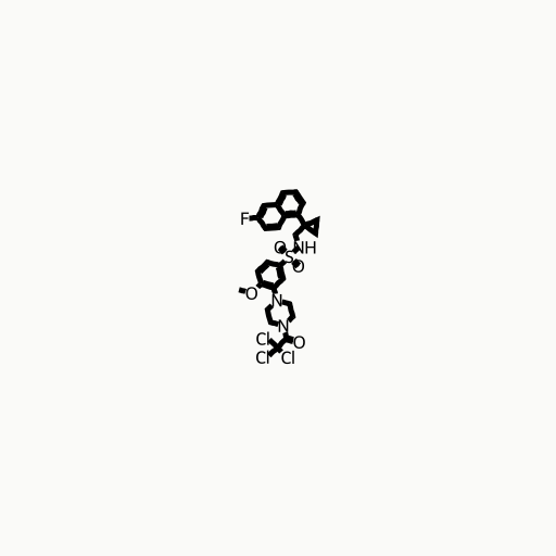 COc1ccc(S(=O)(=O)NCC2(c3cccc4cc(F)ccc34)CC2)cc1N1CCN(C(=O)C(Cl)(Cl)Cl)CC1